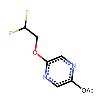 CC(=O)Oc1cnc(OCC(F)F)cn1